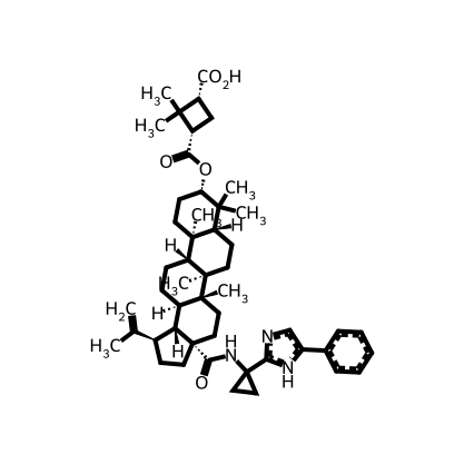 C=C(C)[C@@H]1CC[C@]2(C(=O)NC3(c4ncc(-c5ccccc5)[nH]4)CC3)CC[C@]3(C)[C@H](CC[C@@H]4[C@@]5(C)CC[C@H](OC(=O)[C@H]6C[C@@H](C(=O)O)C6(C)C)C(C)(C)[C@@H]5CC[C@]43C)[C@@H]12